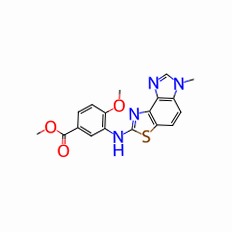 COC(=O)c1ccc(OC)c(Nc2nc3c(ccc4c3ncn4C)s2)c1